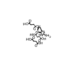 Nc1nc2ccccc2[nH]1.O=C(O)CCC(=O)O.O=C(O)CCC(=O)O.O=C(O)CCC(=O)O